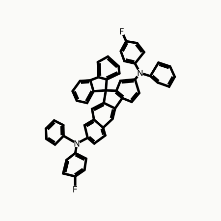 Fc1ccc(N(c2ccccc2)c2ccc3c(c2)C2(c4ccccc4-c4ccccc42)c2cc4cc(N(c5ccccc5)c5ccc(F)cc5)ccc4cc2-3)cc1